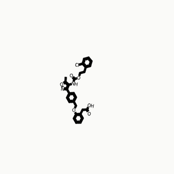 Cc1onc(-c2ccc(COc3ccccc3CC(=O)O)cc2)c1NC(=O)OCCc1ccccc1Cl